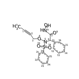 CC#CCON(C(C(=O)NO)c1ccccc1)S(=O)(=O)c1ccccc1